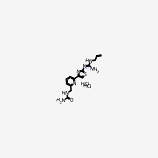 C=CCN/C(N)=N/c1nc(-c2cccc(CNC(N)=O)n2)cs1.Cl.Cl